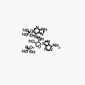 Nc1ncnc2[nH]cnc12.Nc1ncnc2c1ncn2[C@@H]1O[C@H](COP(=O)(O)O)[C@@H](O)[C@H]1O.O=P(O)(O)O